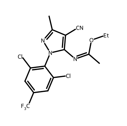 CCOC(C)=Nc1c(C#N)c(C)nn1-c1c(Cl)cc(C(F)(F)F)cc1Cl